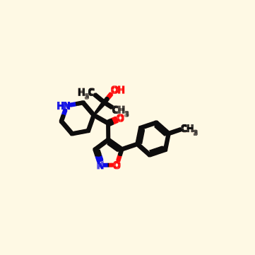 Cc1ccc(-c2oncc2C(=O)[C@]2(C(C)(C)O)CCCNC2)cc1